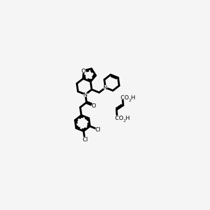 O=C(Cc1ccc(Cl)c(Cl)c1)N1CCc2occc2C1CN1CC=CCC1.O=C(O)/C=C/C(=O)O